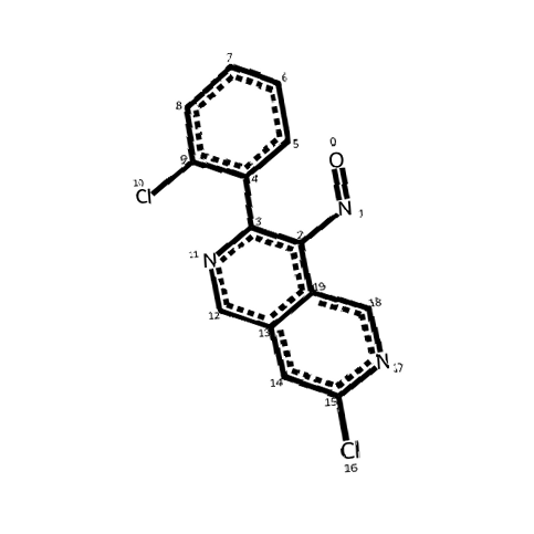 O=Nc1c(-c2ccccc2Cl)ncc2cc(Cl)ncc12